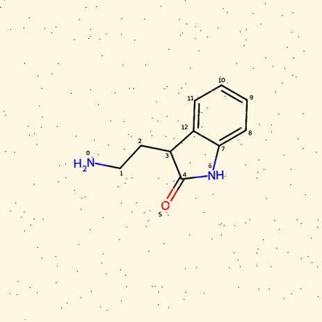 NCCC1C(=O)Nc2ccccc21